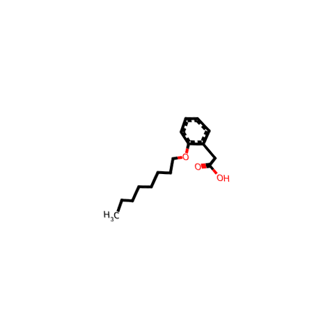 CCCCCCCCOc1ccccc1CC(=O)O